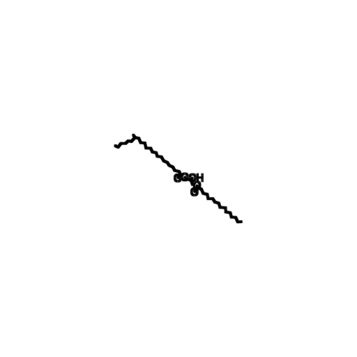 CCCCCCCCCCCCCCCC(=O)OCC(O)COC(=O)CCCCCCCCCCCCCCCC(C)CCCCCC